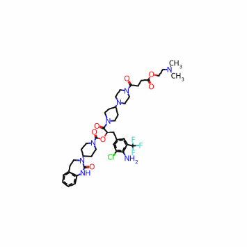 CN(C)CCOC(=O)CCC(=O)N1CCN(C2CCN(C(=O)[C@@H](Cc3cc(Cl)c(N)c(C(F)(F)F)c3)OC(=O)N3CCC(N4CCc5ccccc5NC4=O)CC3)CC2)CC1